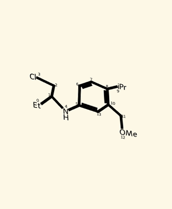 CCC(CCl)Nc1ccc(C(C)C)c(COC)c1